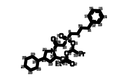 CCC(=O)OC(OP(=O)(CCCCc1ccccc1)CC(=O)N1CC(C2CCCCC2)CC1C)C(C)C